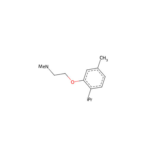 CNCCOc1cc(C)ccc1C(C)C